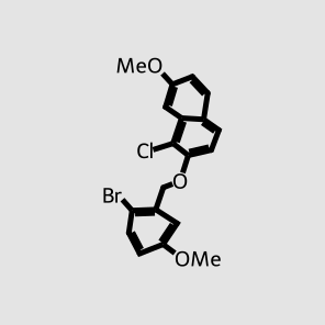 COc1ccc(Br)c(COc2ccc3ccc(OC)cc3c2Cl)c1